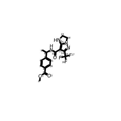 COC(=O)c1ccc(C(C)NC(=O)c2c(C(F)(F)F)nn3c2NCC3)cc1